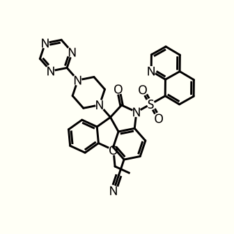 CCOc1ccccc1C1(N2CCN(c3ncncn3)CC2)C(=O)N(S(=O)(=O)c2cccc3cccnc23)c2ccc(C#N)cc21